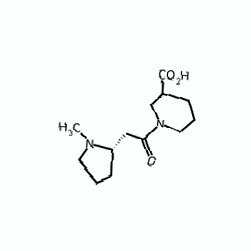 CN1CCC[C@H]1CC(=O)N1CCCC(C(=O)O)C1